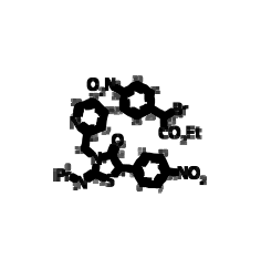 CC(C)N=C1SC(c2ccc([N+](=O)[O-])cc2)C(=O)N1Cc1ccccn1.CCOC(=O)C(Br)c1ccc([N+](=O)[O-])cc1